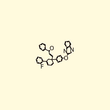 O=C(C=CC1(c2ccc(Oc3cnc4ccccc4n3)cc2)C=CC=C(c2ccccc2F)C1)c1ccccc1